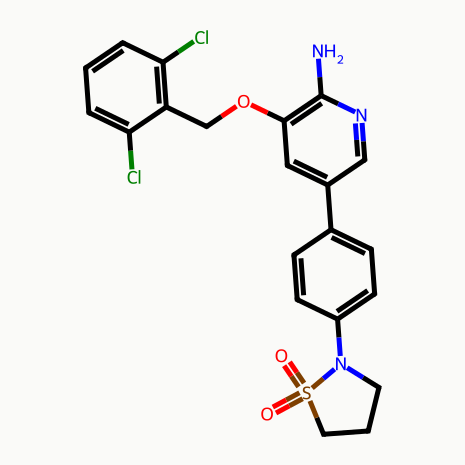 Nc1ncc(-c2ccc(N3CCCS3(=O)=O)cc2)cc1OCc1c(Cl)cccc1Cl